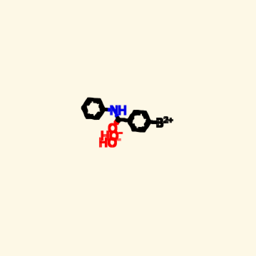 [B+2]c1ccc(C(=O)Nc2ccccc2)cc1.[OH-].[OH-]